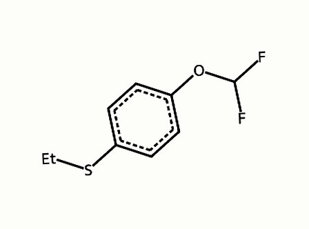 CCSc1ccc(OC(F)F)cc1